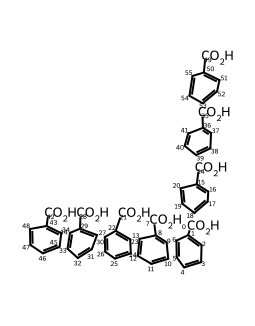 O=C(O)c1ccccc1.O=C(O)c1ccccc1.O=C(O)c1ccccc1.O=C(O)c1ccccc1.O=C(O)c1ccccc1.O=C(O)c1ccccc1.O=C(O)c1ccccc1.O=C(O)c1ccccc1